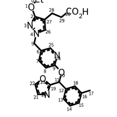 CCOc1nn(Cc2ccc(OC(c3cccc(C)c3)c3ncco3)nc2)cc1CCC(=O)O